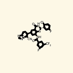 N#Cc1c(-c2cc(NC(=O)c3cc(F)cc(C(F)(F)F)c3)c3c(c2)C(=O)N[C@H](c2cc(F)ccc2Cl)S3)ccc2ncnn12